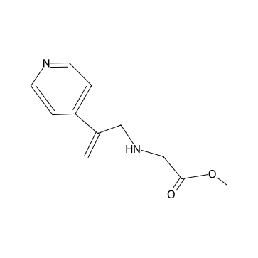 C=C(CNCC(=O)OC)c1ccncc1